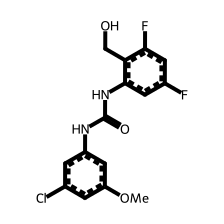 COc1cc(Cl)cc(NC(=O)Nc2cc(F)cc(F)c2CO)c1